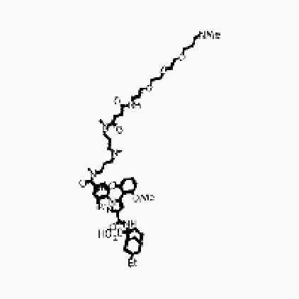 CCC1CC2CCC(NC(=O)c3cc(-c4c(OC)cccc4OC)n(-c4ccc(C(=O)N(C)CCCN(C)CCCN(C)C(=O)CCC(=O)NCCCOCCOCCOCCCNC)cc4C(C)C)n3)(C(=O)O)C(C1)C2